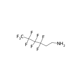 NCCC(F)(F)C(F)(F)C(F)(F)C(F)(F)F